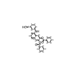 C#Cc1cccc(Nc2ncnc3cc(OC(=O)c4ccccc4)c(OC(=O)c4ccccc4)cc23)c1